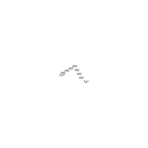 [Co+2].[OH-].[OH-].[OH-].[OH-].[OH-].[OH-].[OH-].[Ta+5]